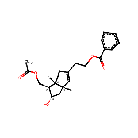 O=C(OCCC1=C[C@@H]2C[C@H](O)[C@@H](COC(=O)C(Cl)(Cl)Cl)[C@@H]2C1)c1ccccc1